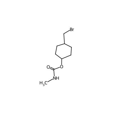 CNC(=O)OC1CCC(CBr)CC1